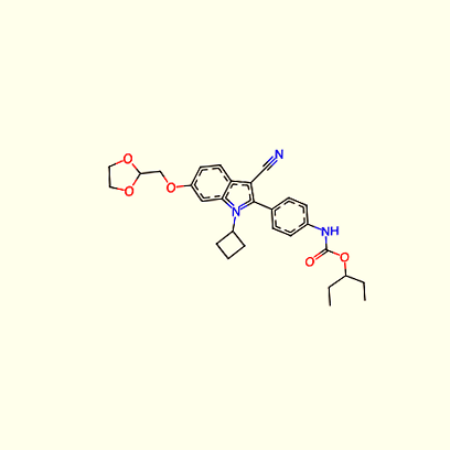 CCC(CC)OC(=O)Nc1ccc(-c2c(C#N)c3ccc(OCC4OCCO4)cc3n2C2CCC2)cc1